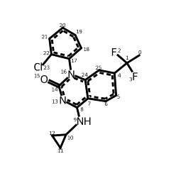 CC(F)(F)c1ccc2c(NC3CC3)nc(=O)n(-c3ccccc3Cl)c2c1